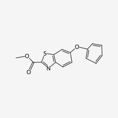 COC(=O)c1nc2ccc(Oc3ccccc3)cc2s1